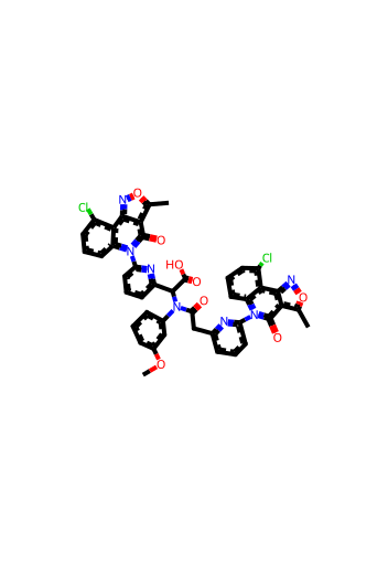 COc1cccc(N(C(=O)Cc2cccc(-n3c(=O)c4c(C)onc4c4c(Cl)cccc43)n2)C(C(=O)O)c2cccc(-n3c(=O)c4c(C)onc4c4c(Cl)cccc43)n2)c1